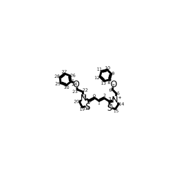 C(/C=C/C1=[N+](CCOc2ccccc2)CCS1)=C1/SCCN1CCOc1ccccc1